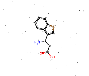 N[C@@H](CC(=O)O)c1csc2ccccc12